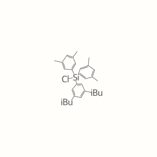 CCC(C)c1cc(C(C)CC)cc([Si](Cl)(c2cc(C)cc(C)c2)c2cc(C)cc(C)c2)c1